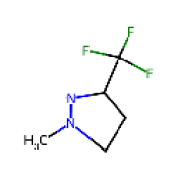 CN1CCC(C(F)(F)F)[N]1